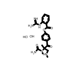 CNCC(C)(C(=O)c1ccc(OC(=O)c2ccccc2NC(=N)N)cc1)N(C)C(N)=O.Cl.Cl